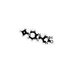 O=c1ncc(-c2nc3c(s2)CCN(C2=CC=C2)CC3)c[nH]1